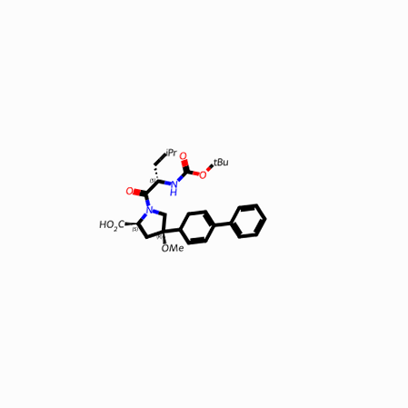 CO[C@@]1(C2C=CC(c3ccccc3)=CC2)C[C@@H](C(=O)O)N(C(=O)[C@H](CC(C)C)NC(=O)OC(C)(C)C)C1